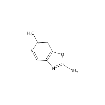 Cc1cc2oc(N)nc2cn1